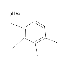 CCCCCC[CH]c1ccc(C)c(C)c1C